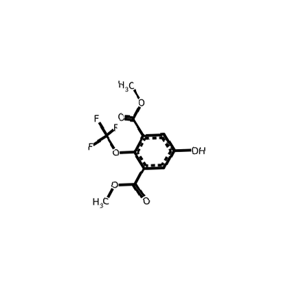 COC(=O)c1cc(O)cc(C(=O)OC)c1OC(F)(F)F